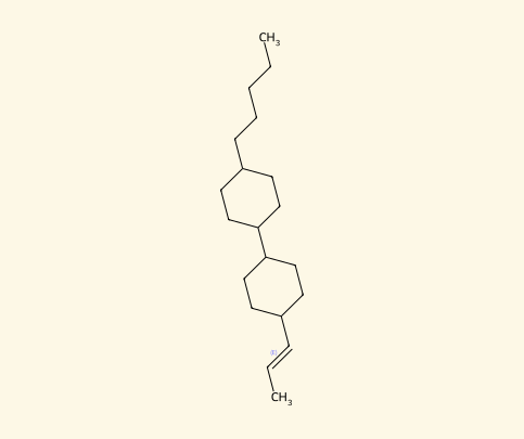 C/C=C/C1CCC(C2CCC(CCCCC)CC2)CC1